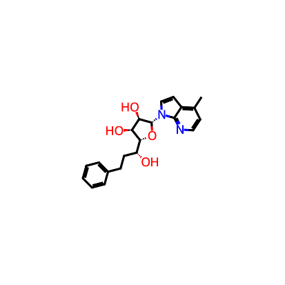 Cc1ccnc2c1ccn2[C@@H]1O[C@H]([C@H](O)CCc2ccccc2)[C@@H](O)[C@H]1O